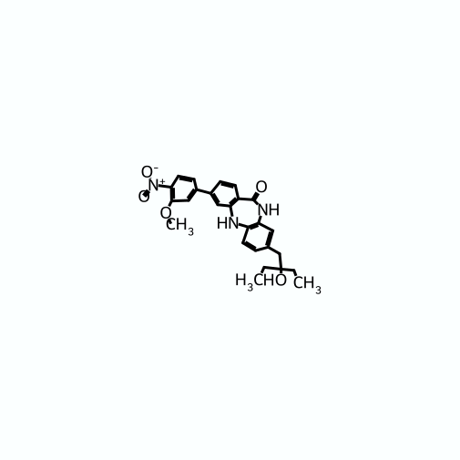 CCC(O)(CC)Cc1ccc2c(c1)NC(=O)c1ccc(-c3ccc([N+](=O)[O-])c(OC)c3)cc1N2